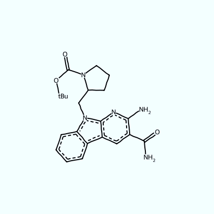 CC(C)(C)OC(=O)N1CCCC1Cn1c2ccccc2c2cc(C(N)=O)c(N)nc21